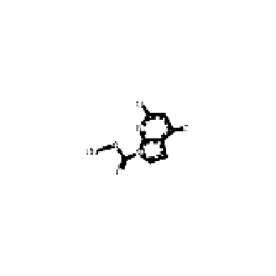 CC(C)(C)OC(=O)n1ccc2c(Cl)cc(Cl)nc21